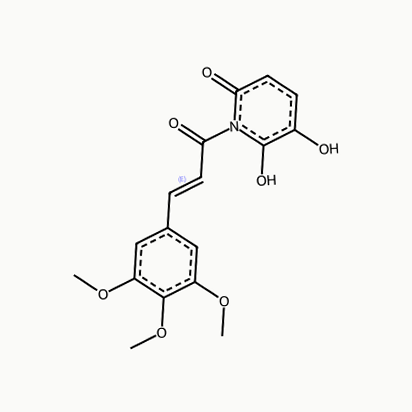 COc1cc(/C=C/C(=O)n2c(O)c(O)ccc2=O)cc(OC)c1OC